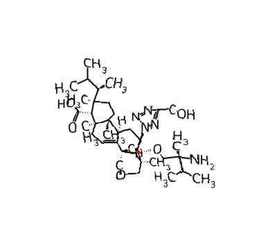 CC(C)[C@@H](C)[C@@]1(C)CC[C@]2(C)[C@H]3CC[C@@H]4[C@@]5(COC[C@]4(C)[C@@H](OC[C@](C)(N)C(C)C)[C@H](n4nnc(CO)n4)C5)C3=CC[C@@]2(C)[C@@H]1C(=O)O